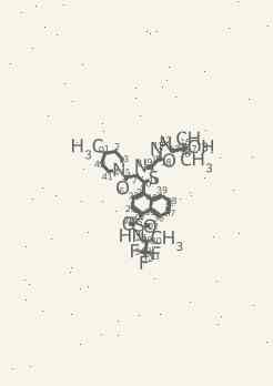 CC1CCN(C(=O)C2N=C(c3nnc(C(C)(C)O)o3)SC2c2ccc(S(=O)(=O)N[C@@H](C)C(F)(F)F)c3ccccc23)CC1